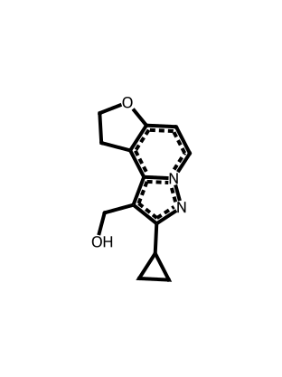 OCc1c(C2CC2)nn2ccc3c(c12)CCO3